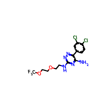 Nc1nc(NCCOCCOC(F)(F)F)nnc1-c1ccc(Cl)c(Cl)c1